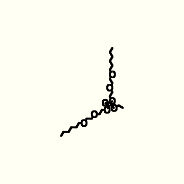 CCCCCCOCCOCCOP(=O)(OCC)OCCOCCOCCCCCC